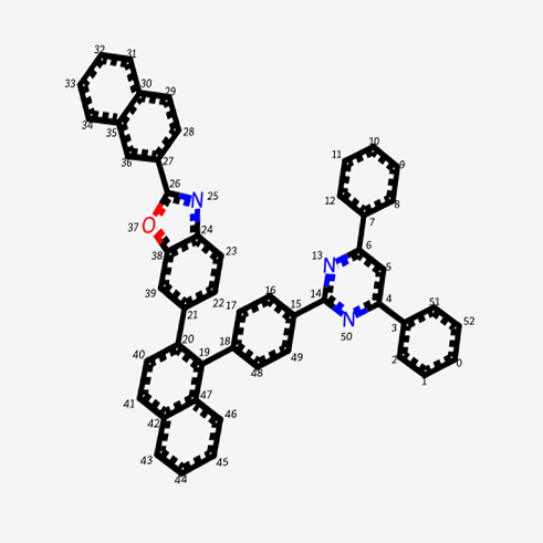 c1ccc(-c2cc(-c3ccccc3)nc(-c3ccc(-c4c(-c5ccc6nc(-c7ccc8ccccc8c7)oc6c5)ccc5ccccc45)cc3)n2)cc1